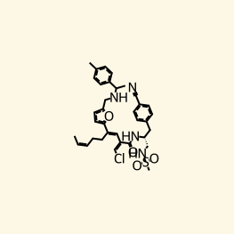 C/C=C\CC/C(=C\C(=C\Cl)C(=O)N[C@@H](CNS(C)(=O)=O)Cc1ccc(C#N)cc1)c1ccc(CNC(C)c2ccc(C)cc2)o1